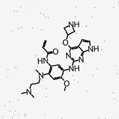 C=CC(=O)Nc1cc(Nc2nc(OC3CNC3)c3cc[nH]c3n2)c(OC)cc1N(C)CCN(C)C